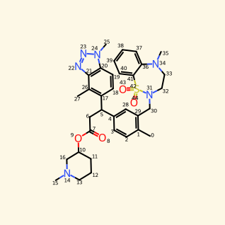 Cc1ccc(C(CC(=O)OC2CCCN(C)C2)c2ccc3c(nnn3C)c2C)cc1CN1CCN(C)c2ccccc2S1(=O)=O